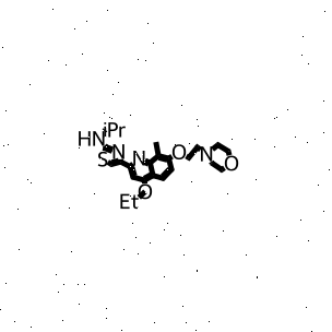 CCOc1cc(-c2csc(NC(C)C)n2)nc2c(C)c(OCCN3CCOCC3)ccc12